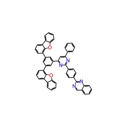 c1ccc(-c2cc(-c3cc(-c4cccc5c4oc4ccccc45)cc(-c4cccc5c4oc4ccccc45)c3)nc(-c3ccc(-c4ncc5ccccc5n4)cc3)n2)cc1